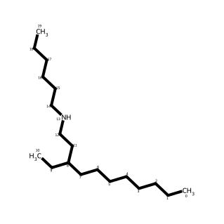 CCCCCCCCC(CC)CCNCCCCCC